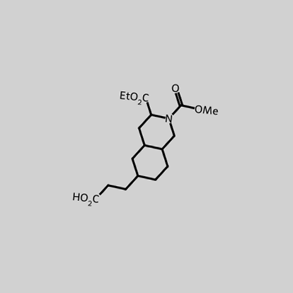 CCOC(=O)C1CC2CC(CCC(=O)O)CCC2CN1C(=O)OC